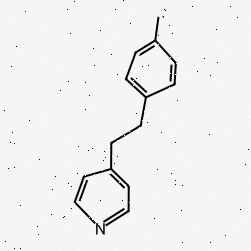 [CH2]c1ccc(CCc2ccncc2)cc1